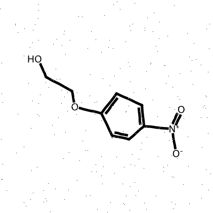 O=[N+]([O-])c1c[c]c(OCCO)cc1